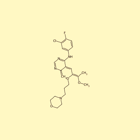 C=c1ncnc(Nc2ccc(F)c(Cl)c2)/c1=C/C(OCCCN1CCOCC1)=C(\C)OC